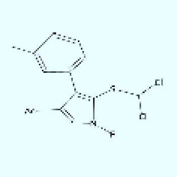 CC(=O)c1cn(F)c(SC(Cl)Cl)c1-c1cccc(C)c1